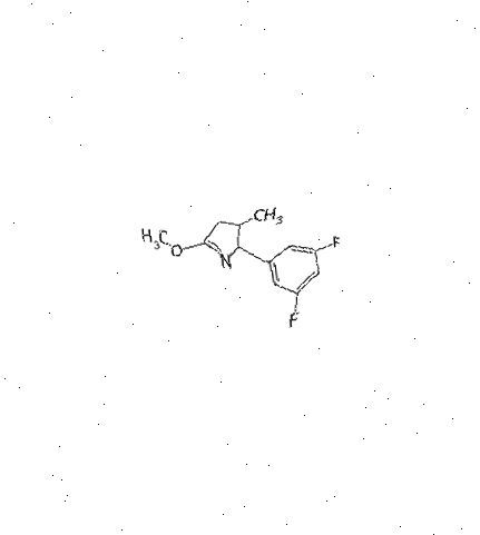 COC1=NC(c2cc(F)cc(F)c2)C(C)C1